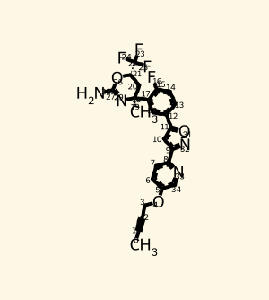 CC#CCOc1ccc(-c2cc(-c3ccc(F)c([C@]4(C)C[C@@H](C(F)(F)F)OC(N)=N4)c3)on2)nc1